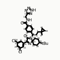 CC1(CC[C@H](c2ccc(C(=O)NCc3nn[nH]n3)cc2)N2C(=O)C(c3cc(Cl)cc(Cl)c3)=NC23CCC(C(C)(C)C)CC3)CC1